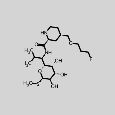 CS[C@H]1O[C@H]([C@H](NC(=O)[C@@H]2C[C@H](COCCCF)CCN2)C(C)C)[C@H](O)[C@H](O)[C@H]1O